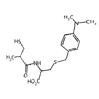 CC(CS)C(=O)NC(CSCc1ccc(N(C)C)cc1)C(=O)O